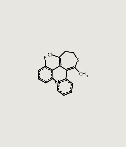 CCc1cccc(F)c1C1=C(Cl)CCSC(C)=C1c1ccccc1